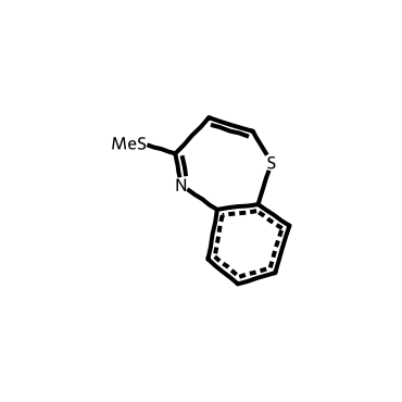 CSC1=Nc2ccccc2SC=C1